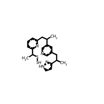 CC(Cc1cccc(C(C)SS)n1)c1cncc(CC(C)c2cc[nH]n2)c1